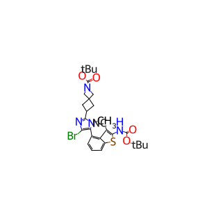 Cn1c(C2CC3(C2)CN(C(=O)OC(C)(C)C)C3)nc(Br)c1-c1cccc2sc(NC(=O)OC(C)(C)C)c(C#N)c12